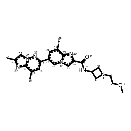 COCCN1CC(NC(=O)c2cn3cc(-c4cc(C)c5nc(C)cn5n4)cc(F)c3n2)C1